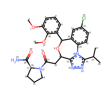 COc1cccc(C2OC(CC(=O)N3CCC[C@H]3C(N)=O)c3nnc(C(C)C)n3-c3ccc(Cl)cc32)c1OC